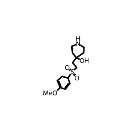 COC1=CCC(S(=O)(=O)CCC2(O)CCNCC2)C=C1